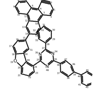 c1ccc2c(c#1)c1ccccc1c1cc(-c3ccc4oc5cccc(-c6nc(-c7ccccc7)nc(-c7ccc(-c8ccccc8)cc7)n6)c5c4c3)ccc21